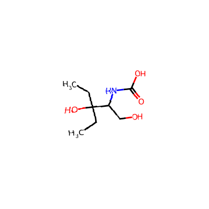 CCC(O)(CC)C(CO)NC(=O)O